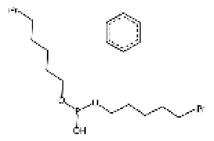 CC(C)CCCCCOP(O)OCCCCCC(C)C.c1ccccc1